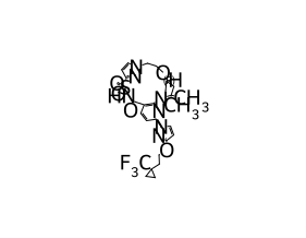 CC1(C)C[C@@H]2CN1c1nc(-n3ccc(OCCC4(C(F)(F)F)CC4)n3)ccc1C(=O)NS(=O)(=O)c1ccn(n1)CCO2